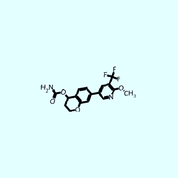 COc1ncc(-c2ccc3c(c2)OCCC3OC(N)=O)cc1C(F)(F)F